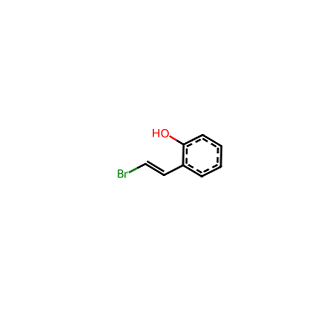 Oc1ccccc1C=CBr